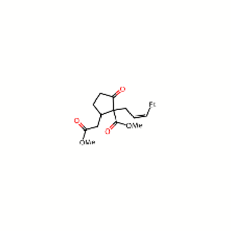 CC/C=C\CC1(C(=O)OC)C(=O)CCC1CC(=O)OC